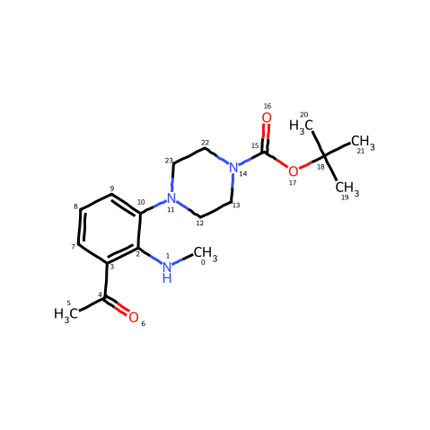 CNc1c(C(C)=O)cccc1N1CCN(C(=O)OC(C)(C)C)CC1